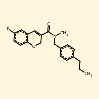 CCCc1ccc(CN(C)C(=O)C2=Cc3cc(F)ccc3OC2)cc1